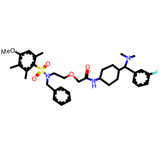 COc1cc(C)c(S(=O)(=O)N(CCOCC(=O)NC2CCC(C(c3cccc(F)c3)N(C)C)CC2)Cc2ccccc2)c(C)c1C